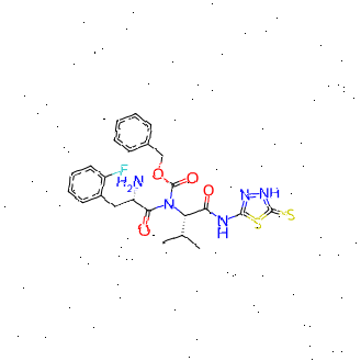 CC(C)[C@@H](C(=O)Nc1n[nH]c(=S)s1)N(C(=O)OCc1ccccc1)C(=O)[C@@H](N)Cc1ccccc1F